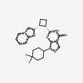 O=c1[nH]c([C@H]2CC[C@H]2c2cn3ccccc3n2)nc2c1cnn2C1CCC(F)(F)CC1